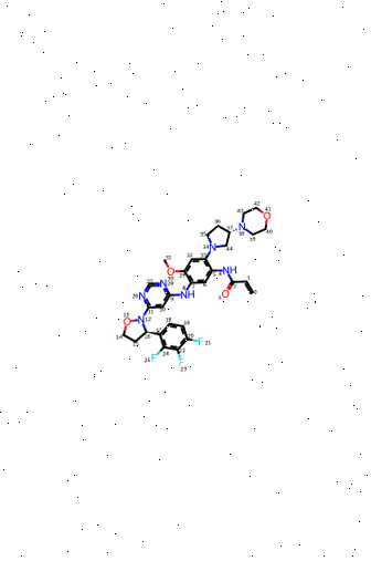 C=CC(=O)Nc1cc(Nc2cc(N3OCC[C@@H]3c3ccc(F)c(F)c3F)ncn2)c(OC)cc1N1CC[C@H](N2CCOCC2)C1